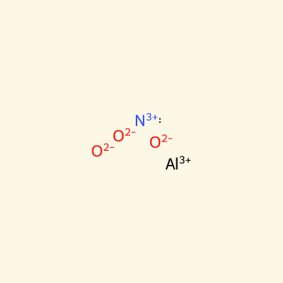 [Al+3].[N+3].[O-2].[O-2].[O-2]